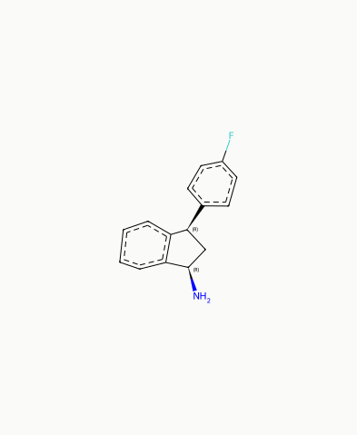 N[C@@H]1C[C@H](c2ccc(F)cc2)c2ccccc21